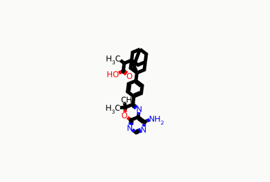 CC(C(=O)O)C12CC3CC(CC(c4ccc(C5=Nc6c(N)ncnc6OC5(C)C)cc4)(C3)C1)C2